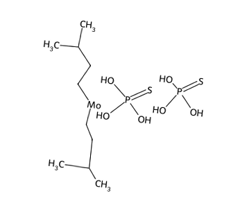 CC(C)C[CH2][Mo][CH2]CC(C)C.OP(O)(O)=S.OP(O)(O)=S